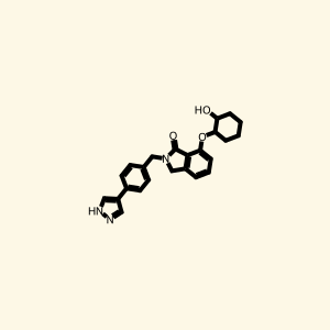 O=C1c2c(cccc2OC2CCCCC2O)CN1Cc1ccc(-c2cn[nH]c2)cc1